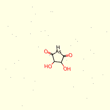 O=C1[AsH]C(=O)C(O)C1O